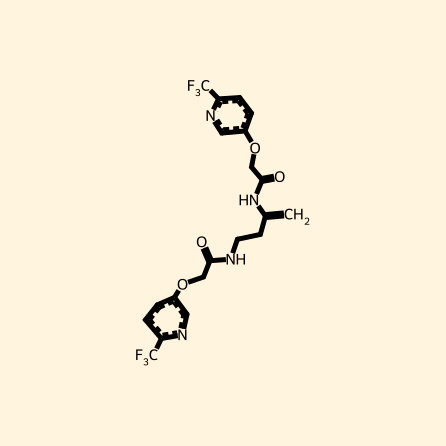 C=C(CCNC(=O)COc1ccc(C(F)(F)F)nc1)NC(=O)COc1ccc(C(F)(F)F)nc1